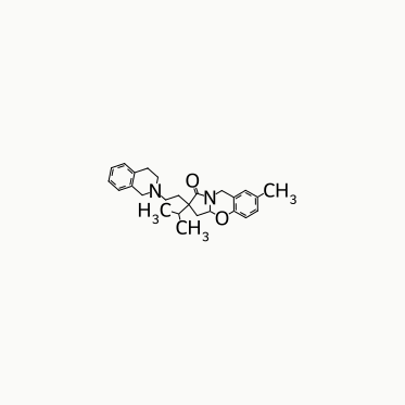 Cc1ccc2c(c1)CN1C(=O)C(CCN3CCc4ccccc4C3)(C(C)C)CC1O2